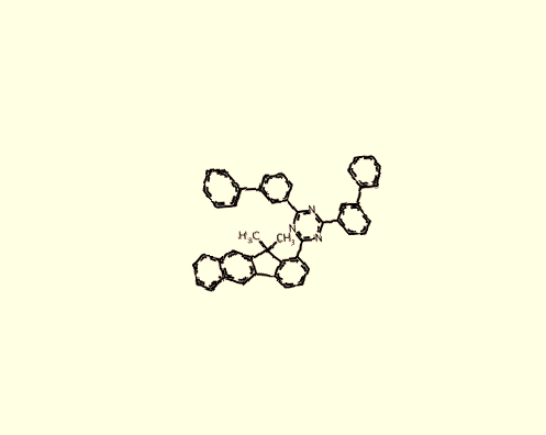 CC1(C)c2cc3ccccc3cc2-c2cccc(-c3nc(-c4cccc(-c5ccccc5)c4)nc(-c4cccc(-c5ccccc5)c4)n3)c21